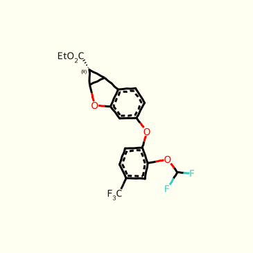 CCOC(=O)[C@H]1C2Oc3cc(Oc4ccc(C(F)(F)F)cc4OC(F)F)ccc3C21